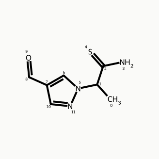 CC(C(N)=S)n1cc(C=O)cn1